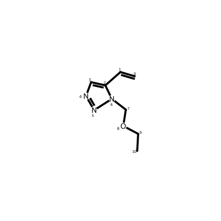 C=Cc1cnnn1COCC